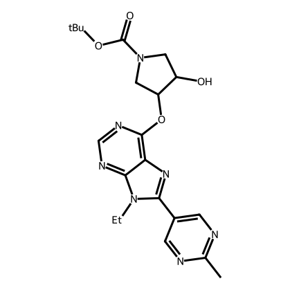 CCn1c(-c2cnc(C)nc2)nc2c(OC3CN(C(=O)OC(C)(C)C)CC3O)ncnc21